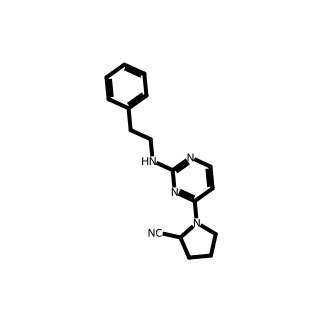 N#CC1CCCN1c1ccnc(NCCc2ccccc2)n1